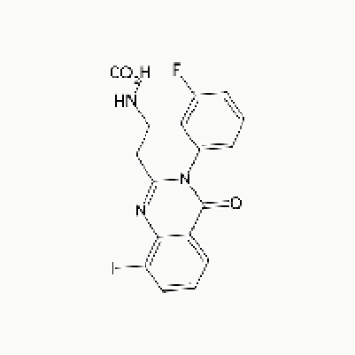 O=C(O)NCCc1nc2c(I)cccc2c(=O)n1-c1cccc(F)c1